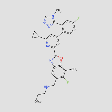 COCCNCc1cc2nc(-c3cc(-c4ccc(F)cc4-c4nncn4C)cc(C4CC4)n3)oc2c(C)c1F